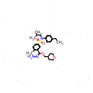 CCc1ccc(N(CC(C)C)S(=O)(=O)c2ccc(C)c(/C(=N\N)OCC3CCOCC3)c2)cc1